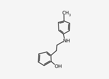 Cc1ccc(NCCc2ccccc2O)cc1